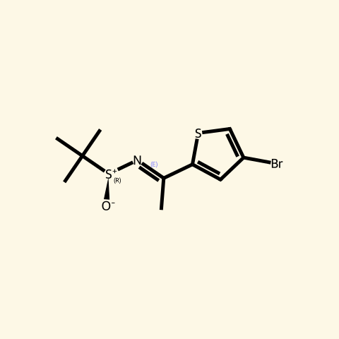 C/C(=N\[S@@+]([O-])C(C)(C)C)c1cc(Br)cs1